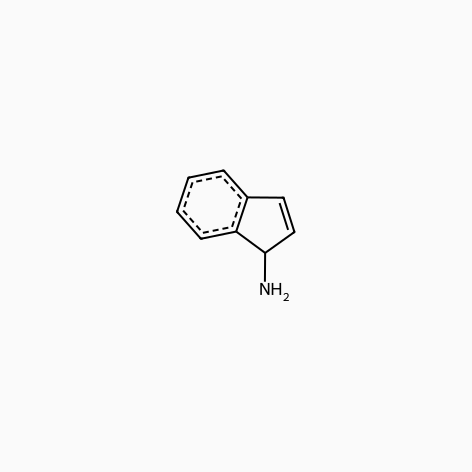 NC1C=Cc2ccccc21